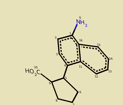 Nc1ccc(C2CCCC2C(=O)O)c2ccccc12